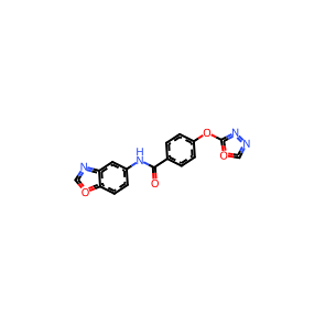 O=C(Nc1ccc2ocnc2c1)c1ccc(Oc2nnco2)cc1